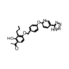 CCCc1c(OCc2ccc(Oc3ccc(-c4nnn[nH]4)cn3)cc2)ccc(C(C)=O)c1O